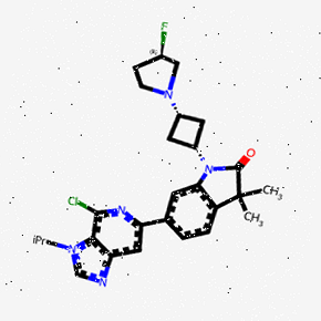 CC(C)n1cnc2cc(-c3ccc4c(c3)N([C@H]3C[C@@H](N5CC[C@@H](F)C5)C3)C(=O)C4(C)C)nc(Cl)c21